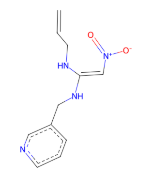 C=CCNC(=C[N+](=O)[O-])NCc1cccnc1